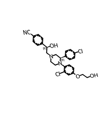 N#Cc1ccc([C@@H](O)CN2CCN(c3ccc(OCCO)cc3Cl)[C@H](c3ccc(Cl)cc3)C2)cc1